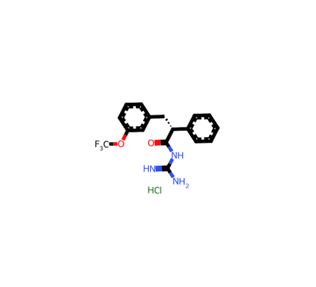 Cl.N=C(N)NC(=O)[C@H](Cc1cccc(OC(F)(F)F)c1)c1ccccc1